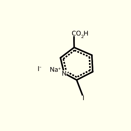 O=C(O)c1ccc(I)nc1.[I-].[Na+]